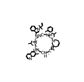 C=CC(C)(C)n1cc(C[C@H]2CN(C)[C@@H](CC(C)C)CN[C@@H](Cc3ccc4cccnc4c3)CN[C@@H](C)CN(C)[C@H]3C/C=C\CCN(C3)[C@@H](CC(C)C)CN[C@@H](Cc3ccccc3)CN2)c2ccccc21